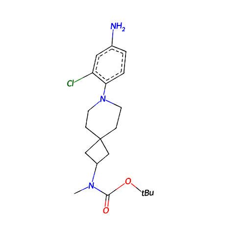 CN(C(=O)OC(C)(C)C)C1CC2(CCN(c3ccc(N)cc3Cl)CC2)C1